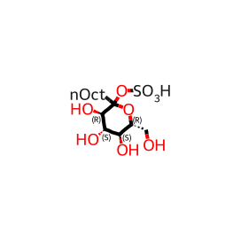 CCCCCCCCC1(OS(=O)(=O)O)O[C@H](CO)[C@@H](O)[C@H](O)[C@H]1O